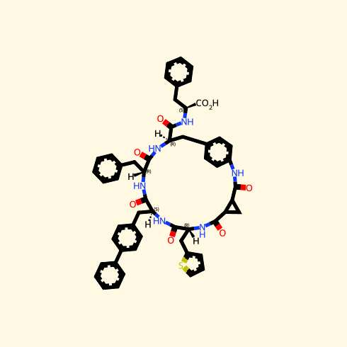 O=C1Nc2ccc(cc2)C[C@H](C(=O)N[C@@H](Cc2ccccc2)C(=O)O)NC(=O)[C@@H](Cc2ccccc2)NC(=O)[C@H](Cc2ccc(-c3ccccc3)cc2)NC(=O)[C@@H](Cc2cccs2)NC(=O)C2CC12